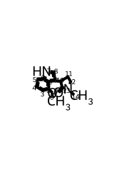 COc1cccc2[nH]cc(C3CCN(C)C3=O)c12